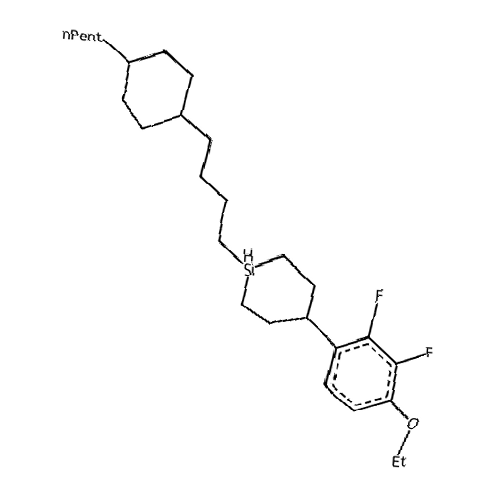 CCCCCC1CCC(CCCC[SiH]2CCC(c3ccc(OCC)c(F)c3F)CC2)CC1